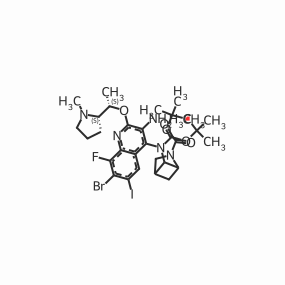 C[C@H](Oc1nc2c(F)c(Br)c(I)cc2c(N(C(=O)OC(C)(C)C)C2C3CC2N(C(=O)OC(C)(C)C)C3)c1N)[C@@H]1CCCN1C